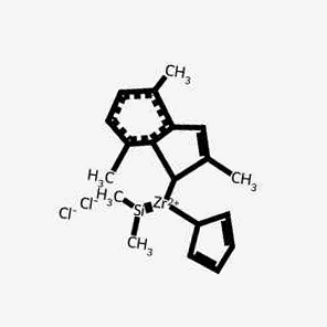 CC1=Cc2c(C)ccc(C)c2[CH]1[Zr+2]([CH]1C=CC=C1)=[Si](C)C.[Cl-].[Cl-]